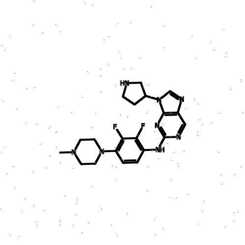 CN1CCN(c2ccc(Nc3ncc4ncn(C5CCNC5)c4n3)c(F)c2F)CC1